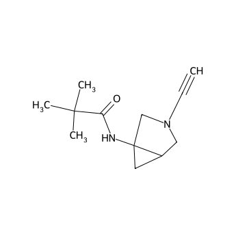 C#CN1CC2CC2(NC(=O)C(C)(C)C)C1